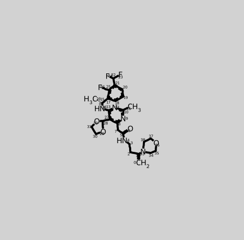 C=C(CCNC(=O)Cc1nc(C)nc(N[C@H](C)c2cccc(C(F)F)c2F)c1C1OCCO1)N1CCOCC1